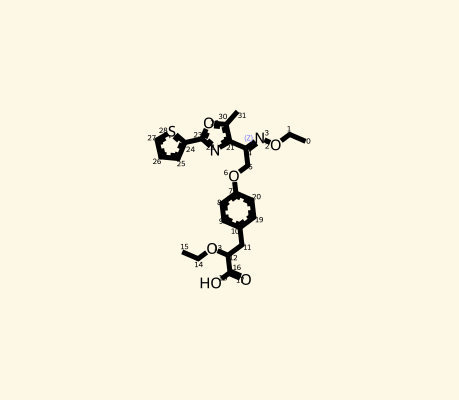 CCO/N=C(\COc1ccc(CC(OCC)C(=O)O)cc1)c1nc(-c2cccs2)oc1C